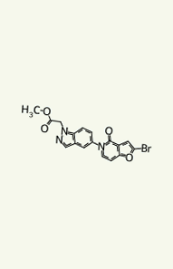 COC(=O)Cn1ncc2cc(-n3ccc4oc(Br)cc4c3=O)ccc21